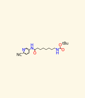 CC(C)(C)OC(=O)NCCCCCCCC(=O)Nc1ccc(C#N)nc1